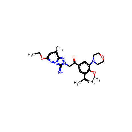 C=C(C)c1cc(C(=O)Cn2nc3c(C)cc(OCC)nn3c2=N)cc(N2CCOCC2)c1OC